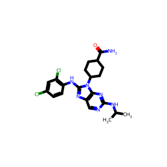 CC(C)Nc1ncc2nc(Nc3ccc(Cl)cc3Cl)n(C3CCC(C(N)=O)CC3)c2n1